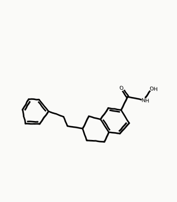 O=C(NO)c1ccc2c(c1)CC(CCc1ccccc1)CC2